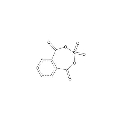 O=C1OS(=O)(=O)OC(=O)c2ccccc21